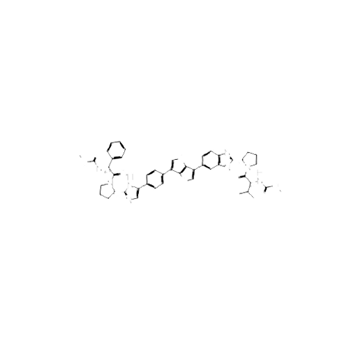 COC(=O)N[C@H](C(=O)N1CCC[C@H]1c1nc2ccc(-c3csc4c(-c5ccc(-c6cnc([C@@H]7CCCN7C(=O)[C@H](NC(=O)OC)c7ccccc7)[nH]6)cc5)csc34)cc2[nH]1)C(C)C